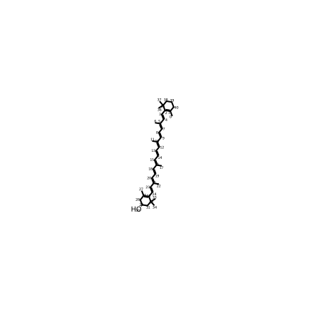 CC1=C(/C=C/C(C)=C/C=C/C(C)=C/C=C/C=C(C)/C=C/C=C(C)/C=C/C2=C(C)C[C@H](O)CC2(C)C)C(C)(C)CCC1